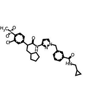 CS(=O)(=O)c1ccc(C(CC2CCCC2)C(=O)Nc2ccn(Cc3cccc(C(=O)NCC4CC4)c3)n2)cc1Cl